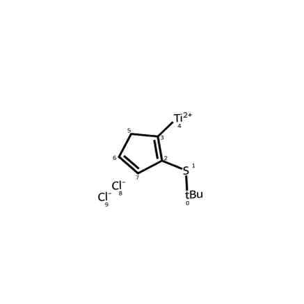 CC(C)(C)SC1=[C]([Ti+2])CC=C1.[Cl-].[Cl-]